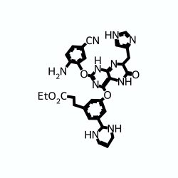 CCOC(=O)CCc1cc(OC2=C3NC(=O)C(Cc4c[nH]cn4)N=C3NC(Oc3cc(C#N)ccc3N)=N2)cc(C2NC=CCN2)c1